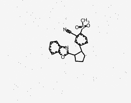 CS(=O)(=O)c1ccc(C2[CH]CCC2c2nc3ccccc3o2)cc1C#N